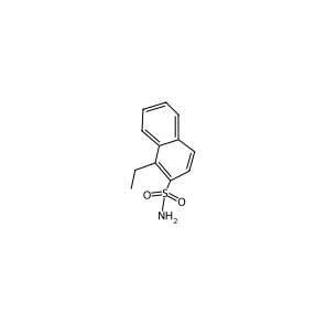 CCc1c(S(N)(=O)=O)ccc2ccccc12